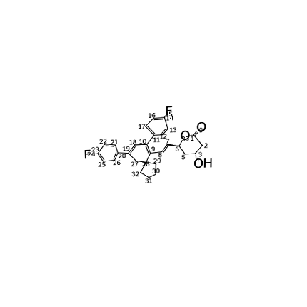 O=C1C[C@H](O)C[C@@H](/C=C/C2=C(c3ccc(F)cc3)C=C(c3ccc(F)cc3)CC23CCCC3)O1